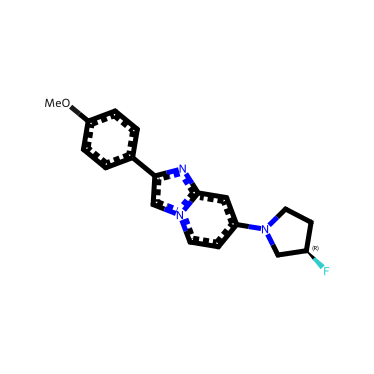 COc1ccc(-c2cn3ccc(N4CC[C@@H](F)C4)cc3n2)cc1